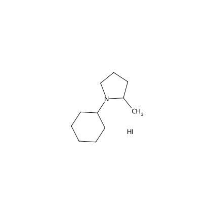 CC1CCCN1C1CCCCC1.I